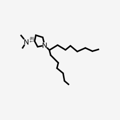 CCCCCCCC(CCCCCC)N1CC[C@@H](N(C)C)C1